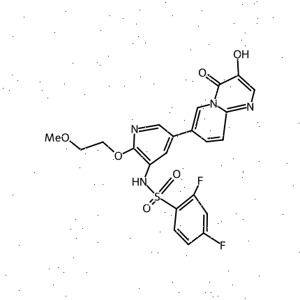 COCCOc1ncc(-c2ccc3ncc(O)c(=O)n3c2)cc1NS(=O)(=O)c1ccc(F)cc1F